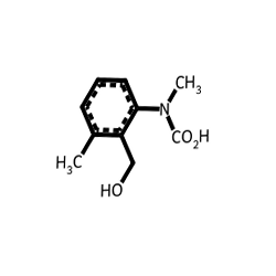 Cc1cccc(N(C)C(=O)O)c1CO